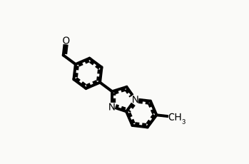 Cc1ccc2nc(-c3ccc(C=O)cc3)cn2c1